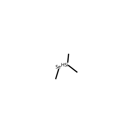 C[Se][SiH](C)C